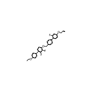 C=CCOc1ccc(-c2ccc(COc3ccc(-c4ccc(OCC)cc4)c(F)c3F)cc2)c(F)c1